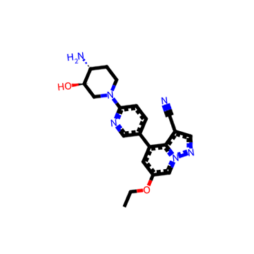 CCOc1cc(-c2ccc(N3CC[C@@H](N)[C@H](O)C3)nc2)c2c(C#N)cnn2c1